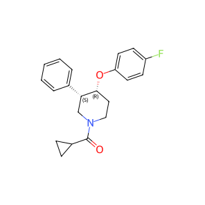 O=C(C1CC1)N1CC[C@@H](Oc2ccc(F)cc2)[C@@H](c2ccccc2)C1